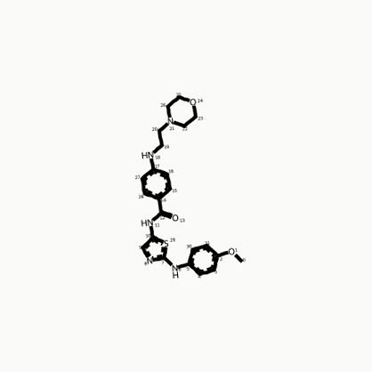 COc1ccc(Nc2ncc(NC(=O)c3ccc(NCCN4CCOCC4)cc3)s2)cc1